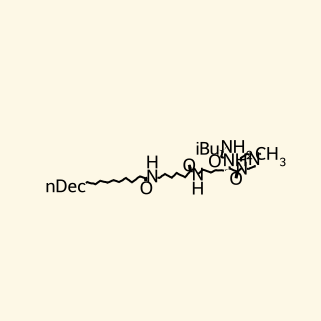 CCCCCCCCCCCCCCCCCCCC(=O)NCCCCCC(=O)NCCCC[C@H](NC(=O)[C@@H](N)[C@@H](C)CC)C(=O)N1CCN(C)CC1